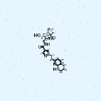 CC(C)CS(=O)(=O)NC(CNC(=O)c1cnn(CCc2ccc3c(n2)NCCC3)c1)C(=O)O